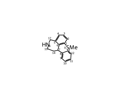 CSc1cccc2c1C(c1ccccc1)CCNC2